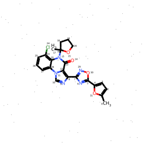 Cc1ccc(-c2nc(-c3ncn4c3c(=O)n(C3(C)CCCO3)c3c(Cl)cccc34)no2)o1